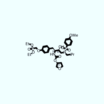 CCOP(=O)(COc1ccc(C[C@H](NC(=O)O[C@H]2CCOC2)[C@H](O)CN(CC(C)C)S(=O)(=O)c2ccc(OC)cc2)cc1)OCC